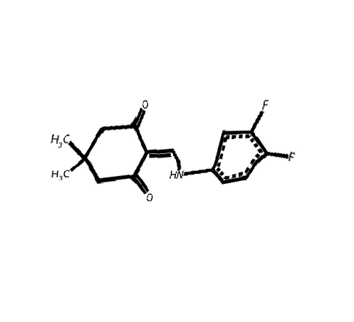 CC1(C)CC(=O)C(=CNc2ccc(F)c(F)c2)C(=O)C1